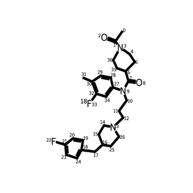 CC(=O)N1CCC(C(=O)N(CCCN2CCC(Cc3ccc(F)cc3)CC2)c2ccc(C)c([18F])c2)CC1